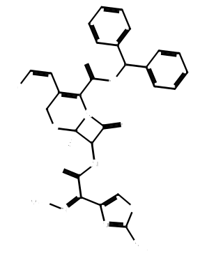 CC/C=C\C1=C(C(=O)OC(c2ccccc2)c2ccccc2)N2C(=O)C(NC(=O)/C(=N\OC)c3csc(N)n3)[C@H]2SC1